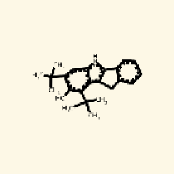 CC(C)(C)c1cc2[nH]c3c(c2c(C(C)(C)C)c1O)Cc1ccccc1-3